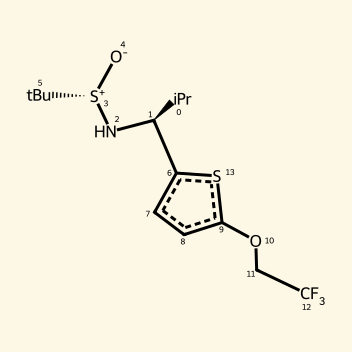 CC(C)[C@H](N[S@@+]([O-])C(C)(C)C)c1ccc(OCC(F)(F)F)s1